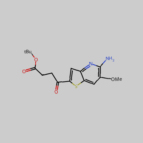 COc1cc2sc(C(=O)CCC(=O)OC(C)(C)C)cc2nc1N